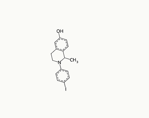 CC1c2ccc(O)cc2CCN1c1ccc(I)cc1